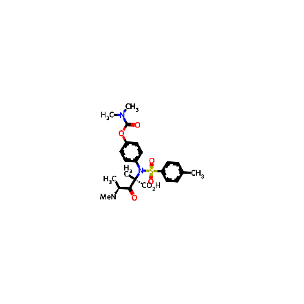 CN[C@@H](C)C(=O)[C@](C)(C(=O)O)N(c1ccc(OC(=O)N(C)C)cc1)S(=O)(=O)c1ccc(C)cc1